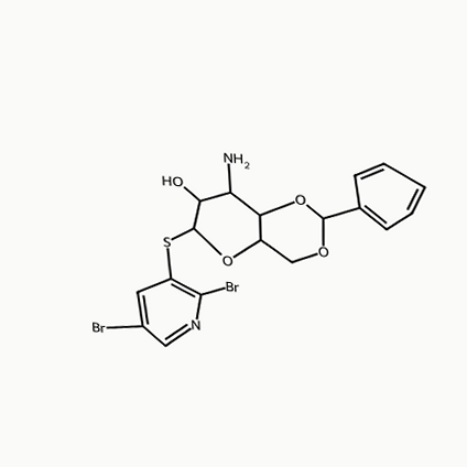 NC1C(O)C(Sc2cc(Br)cnc2Br)OC2COC(c3ccccc3)OC21